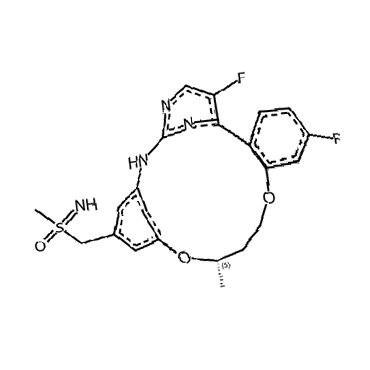 C[C@H]1CCOc2cc(F)ccc2-c2nc(ncc2F)Nc2cc(CS(C)(=N)=O)cc(c2)O1